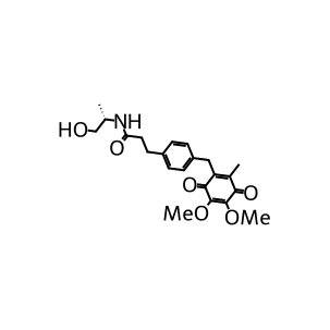 COC1=C(OC)C(=O)C(Cc2ccc(CCC(=O)N[C@@H](C)CO)cc2)=C(C)C1=O